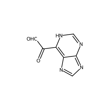 O=CC(=O)c1[nH]cnc2ncnc1-2